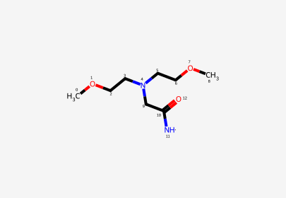 COCCN(CCOC)CC([NH])=O